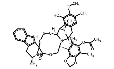 COc1c(C)cc2c(c1O)C1[C@@H]3CSC[C@]4(N[C@@H](C)Cc5c4[nH]c4ccccc54)C(=O)OC[C@@H](c4c(C)c(OC(C)=O)c(C)c5c4OCO5)N3C(C)(C2)CN1C